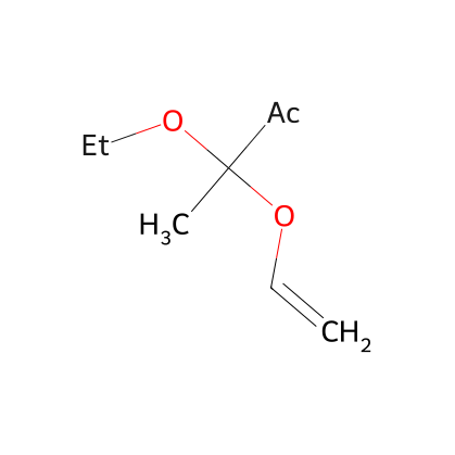 C=COC(C)(OCC)C(C)=O